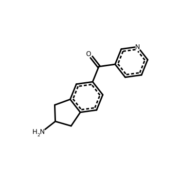 NC1Cc2ccc(C(=O)c3cccnc3)cc2C1